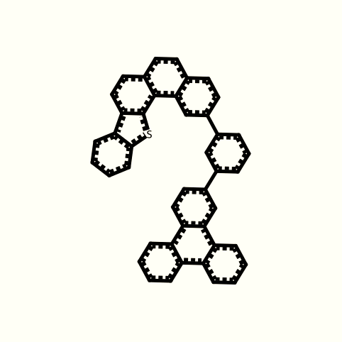 c1cc(-c2ccc3c4ccccc4c4ccccc4c3c2)cc(-c2ccc3ccc4ccc5c6ccccc6sc5c4c3c2)c1